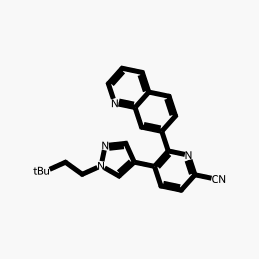 CC(C)(C)CCn1cc(-c2ccc(C#N)nc2-c2ccc3cccnc3c2)cn1